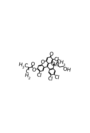 C=C(C)C(=O)Oc1cc2oc3cc(=O)c(Cl)cc-3c(-c3cc(Cl)c(Cl)cc3C(=O)N(C)CCO)c2cc1Cl